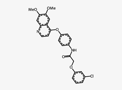 COc1cc2nccc(Oc3ccc(NC(=O)COc4cccc(Cl)c4)cc3)c2cc1OC